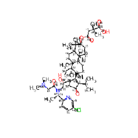 CC(C)C1=C2[C@H]3CC[C@@H]4[C@@]5(C)CC[C@H](OC(=O)CC(C)(C)C(=O)O)C(C)(C)[C@@H]5CC[C@@]4(C)[C@]3(C)CC[C@@]2([C@@H](O)CN(C(=O)CN(C)C)[C@H](C)c2ccc(Cl)cn2)CC1=O